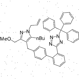 C=CCn1nc(COC)c(Cc2ccc(-c3ccccc3-c3nnn(C(c4ccccc4)(c4ccccc4)c4ccccc4)n3)cc2)c1CCCC